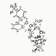 COc1c(CN2O[C@@H](CO)[C@H]([C@H](C)O)[C@H]2C(=O)N[C@H]2C[C@H]3C[C@@H]([C@@H]2C)C3(C)C)cccc1-c1cccc(C(F)(F)F)c1